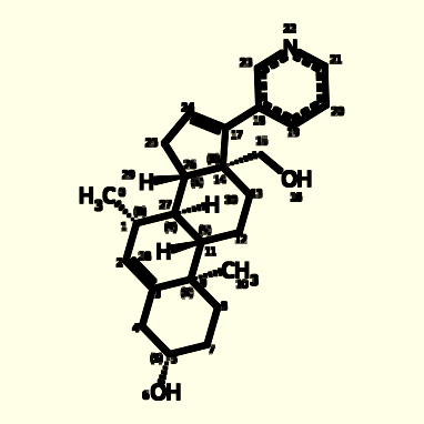 C[C@H]1C=C2C[C@@H](O)CC[C@]2(C)[C@H]2CC[C@]3(CO)C(c4cccnc4)=CC[C@H]3[C@H]12